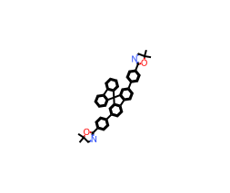 CC1(C)CN=C(c2ccc(-c3ccc4c(c3)C3(c5ccccc5-c5ccccc53)c3cc(-c5ccc(C6=NCC(C)(C)O6)cc5)ccc3-4)cc2)O1